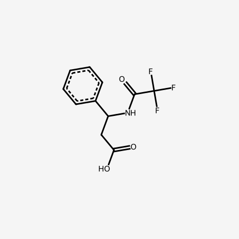 O=C(O)CC(NC(=O)C(F)(F)F)c1ccccc1